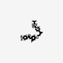 CC(C)c1noc(N2CCC(C3CC3CCOc3ccc(CC(=O)N4CCC(F)(F)CC4)c(F)c3)CC2)n1